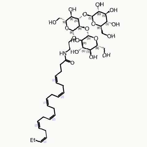 CC/C=C\C/C=C\C/C=C\C/C=C\C/C=C\C/C=C\CCC(=O)NCCO[C@@H]1O[C@H](CO)[C@@H](O)[C@H](O[C@@H]2O[C@H](CO)[C@@H](O)[C@H](O)[C@H]2O)[C@H]1O[C@@H]1O[C@H](CO)[C@@H](O)[C@H](O)[C@H]1O